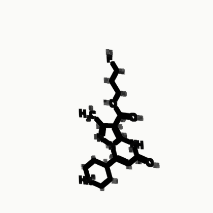 Cc1nn2c(C3CCNCC3)cc(=O)[nH]c2c1C(=O)OCCCF